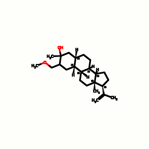 C=C(C)[C@H]1CC[C@H]2[C@@H]3CC[C@@H]4CC(C)(O)C(COC)C[C@@H]4[C@H]3CC[C@]12C